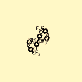 FC(F)(F)c1ccc(CN2CCNCC2)cc1Oc1ccc(C(c2ccc(Oc3cc(CN4CCNCC4)ccc3C(F)(F)F)cc2)(C(F)(F)F)C(F)(F)F)cc1